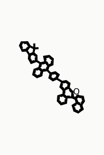 CC1(C)c2ccccc2-c2ccc(-c3c4ccccc4c(-c4ccc(-c5ccc6c(c5)c5ccccc5c5c6oc6ccc7ccccc7c65)cc4)c4ccccc34)cc21